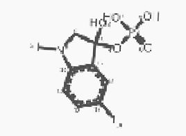 O=P(O)(O)OC1(O)CN(I)c2ccc(I)cc21